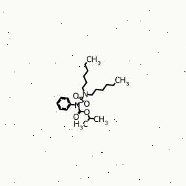 CCCCCCN(CCCCCC)S(=O)(=O)N(C(=O)OC(C)C)c1ccccc1